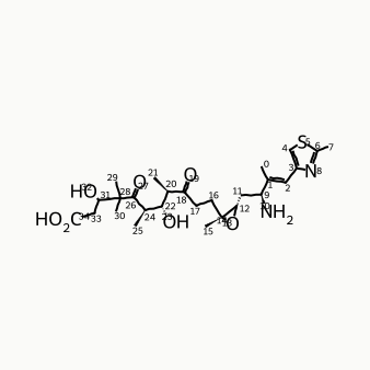 C/C(=C\c1csc(C)n1)[C@@H](N)C[C@@H]1O[C@]1(C)CCC(=O)[C@H](C)[C@H](O)[C@@H](C)C(=O)C(C)(C)[C@@H](O)CC(=O)O